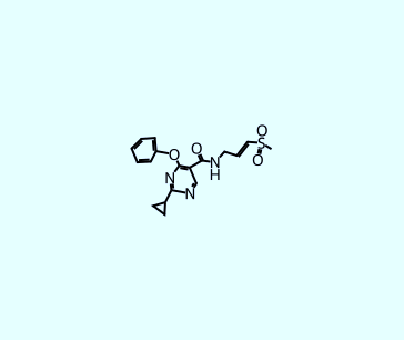 CS(=O)(=O)C=CCNC(=O)c1cnc(C2CC2)nc1Oc1ccccc1